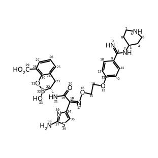 N=C(NC1CCNCC1)c1ccc(OCCO/N=C(\C(=O)N[C@H]2Cc3cccc(C(=O)O)c3OB2O)c2csc(N)n2)cc1